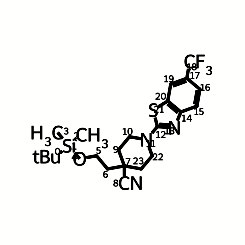 CC(C)(C)[Si](C)(C)OCCC1(C#N)CCN(c2nc3ccc(C(F)(F)F)cc3s2)CC1